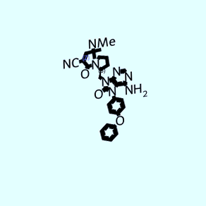 CNC(C)(C)/C=C(/C#N)C(=O)N1CCC[C@H]1Cn1c(=O)n(-c2ccc(Oc3ccccc3)cc2)c2c(N)ncnc21